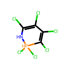 ClC1=C(Cl)C(Cl)=C(Cl)[PH](Cl)(Cl)N1